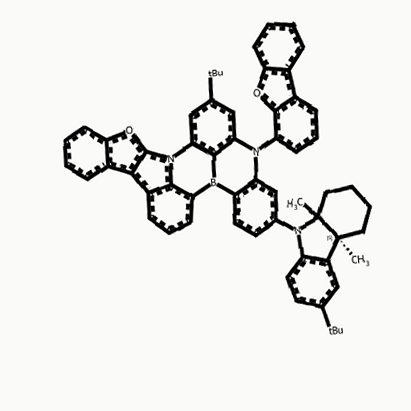 CC(C)(C)c1cc2c3c(c1)-n1c4oc5ccccc5c4c4cccc(c41)B3c1ccc(N3c4ccc(C(C)(C)C)cc4[C@]4(C)CCCCC34C)cc1N2c1cccc2c1oc1ccccc12